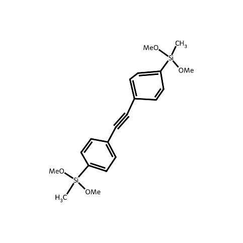 CO[Si](C)(OC)c1ccc(C#Cc2ccc([Si](C)(OC)OC)cc2)cc1